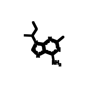 CCC(C)n1cnc2c(N)nc(C)nc21